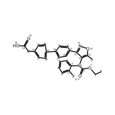 CCOC(=O)N(c1ccccc1F)c1c(-c2ccc(-c3ccc(CC(=O)O)cc3)cc2)noc1C